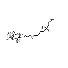 CCC(CC)(CCO)CCCCOCCCCC(CC)(CC)CS(N)(=O)=O